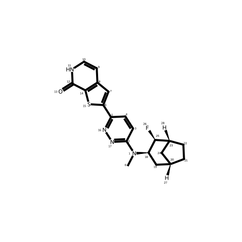 CN(c1ccc(-c2cc3cc[nH]c(=O)c3s2)nn1)[C@@H]1C[C@H]2CC[C@H](C2)[C@@H]1F